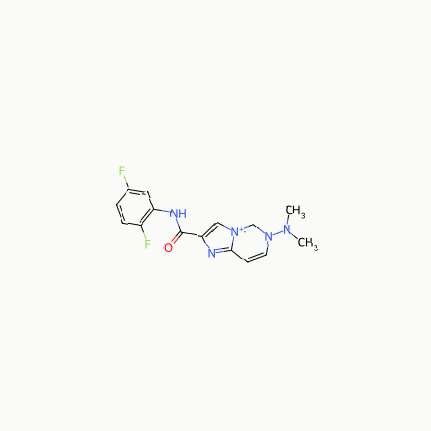 CN(C)N1C=CC2=NC(C(=O)Nc3cc(F)ccc3F)=C[N+]2C1